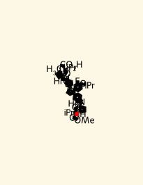 COC(=O)N[C@H](C(=O)N1CCC[C@H]1c1nc2ccc([C@H]3CC[C@H](c4ccc5nc([C@@H]6CCCN6C(=O)[C@H](C(C)C)N(C)C(=O)O)[nH]c5c4)N3c3ccc(OC(C)C)c(F)c3)cc2[nH]1)C(C)C